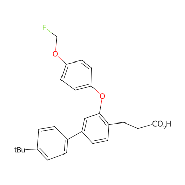 CC(C)(C)c1ccc(-c2ccc(CCC(=O)O)c(Oc3ccc(OCF)cc3)c2)cc1